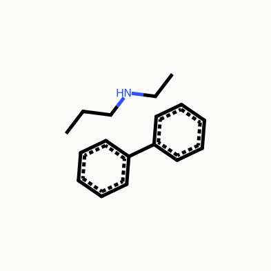 CCCNCC.c1ccc(-c2ccccc2)cc1